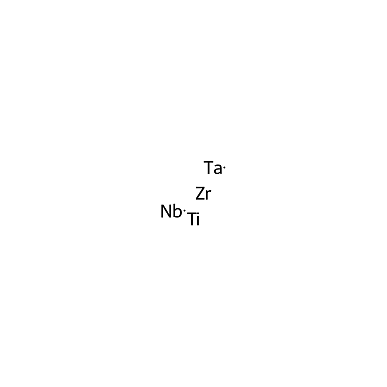 [Nb].[Ta].[Ti].[Zr]